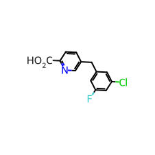 O=C(O)c1ccc(Cc2cc(F)cc(Cl)c2)cn1